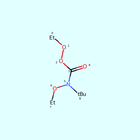 CCOOC(=O)N(OCC)C(C)(C)C